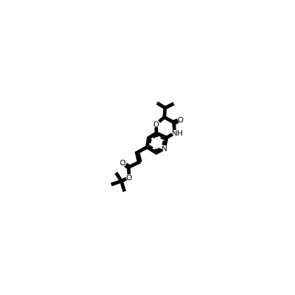 CC(C)C1Oc2cc(/C=C/C(=O)OC(C)(C)C)cnc2NC1=O